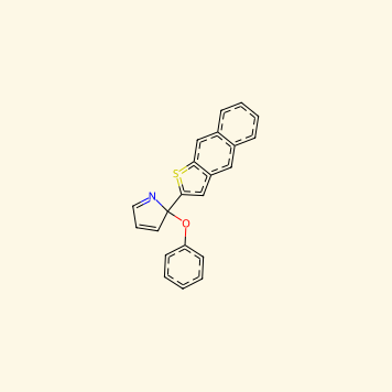 C1=CC(Oc2ccccc2)(c2cc3cc4ccccc4cc3s2)N=C1